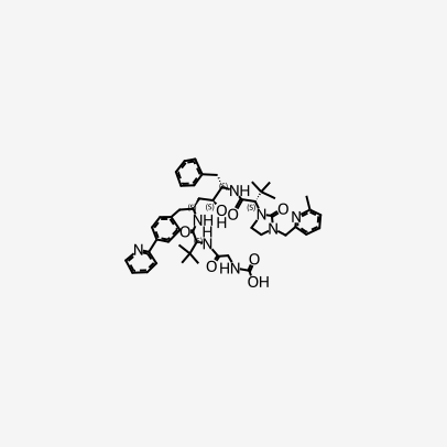 Cc1cccc(CN2CCN([C@H](C(=O)N[C@@H](Cc3ccccc3)[C@@H](O)C[C@H](Cc3ccc(-c4ccccn4)cc3)NC(=O)[C@@H](NC(=O)CNC(=O)O)C(C)(C)C)C(C)(C)C)C2=O)n1